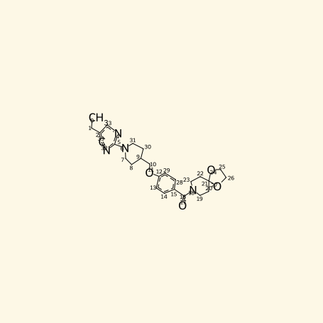 CCc1cnc(N2CCC(COc3ccc(C(=O)N4CCC5(CC4)OCCO5)cc3)CC2)nc1